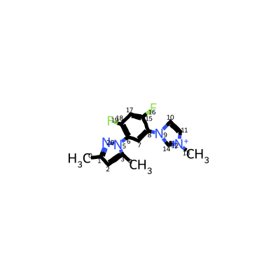 Cc1cc(C)n(-c2cc(-n3cc[n+](C)c3)c(F)cc2F)n1